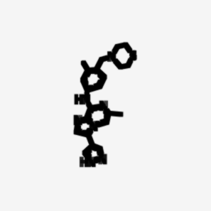 Cc1cn2c(-c3cn[nH]c3)cnc2c(Nc2ccc(CN3CCSCC3)c(C)c2)n1